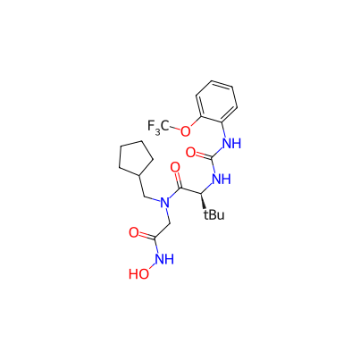 CC(C)(C)[C@H](NC(=O)Nc1ccccc1OC(F)(F)F)C(=O)N(CC(=O)NO)CC1CCCC1